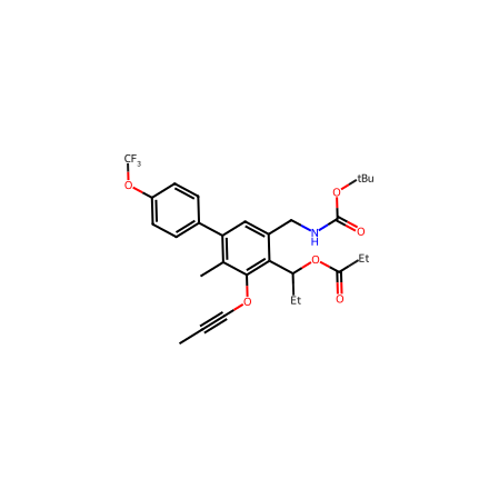 CC#COc1c(C)c(-c2ccc(OC(F)(F)F)cc2)cc(CNC(=O)OC(C)(C)C)c1C(CC)OC(=O)CC